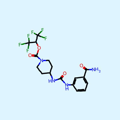 NC(=O)c1cccc(NC(=O)NC2CCN(C(=O)OC(C(F)(F)F)C(F)(F)F)CC2)c1